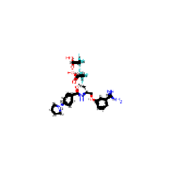 CC(C)C[C@H](COc1cccc(C(=N)N)c1)NC(=O)c1ccc(N2CCCC2)cc1.O=C(O)C(F)(F)F.O=C(O)C(F)(F)F